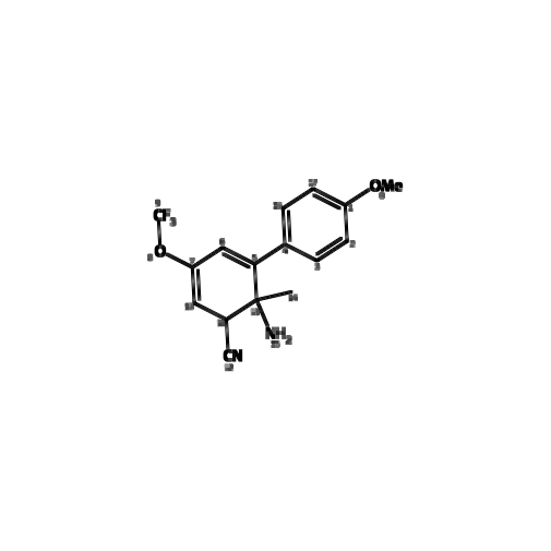 COc1ccc(C2=CC(OC(F)(F)F)=CC(C#N)C2(C)N)cc1